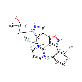 [2H]C1(n2ncc(-c3onc(-c4c(F)cccc4Cl)c3-c3ncccn3)c2C(F)(F)F)CC(C)(O)C1